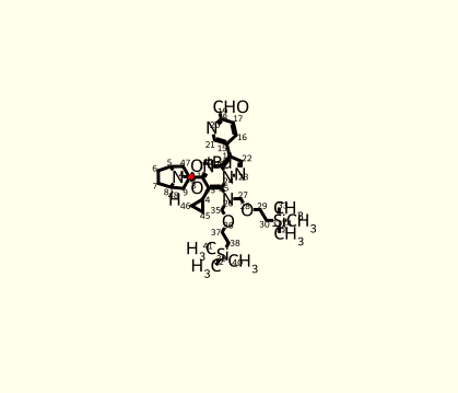 CC(C)(C)OC(=O)N1C2CC[C@@H]1CC(c1nc3c(-c4ccc(C=O)nc4)cnn3c(N(COCC[Si](C)(C)C)COCC[Si](C)(C)C)c1C1CC1)C2